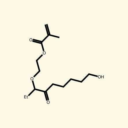 C=C(C)C(=O)OCCOC(CC)C(=O)CCCCCO